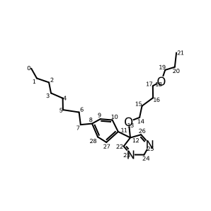 CCCCCCCCc1ccc(C2(OCCCCOCCC)C=NCN=C2)cc1